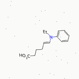 CCN(C=CCCCC(=O)O)c1ccccc1